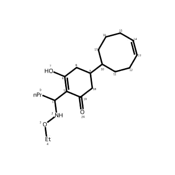 CCCC(NOCC)C1=C(O)CC(C2CC/C=C\CCC2)CC1=O